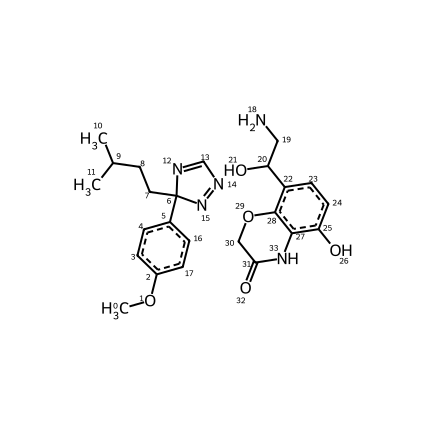 COc1ccc(C2(CCC(C)C)N=CN=N2)cc1.NCC(O)c1ccc(O)c2c1OCC(=O)N2